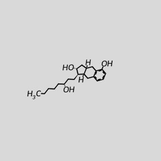 CCCCC[C@@H](O)CC[C@@H]1[C@H]2Cc3cccc(O)c3C[C@H]2C[C@H]1O